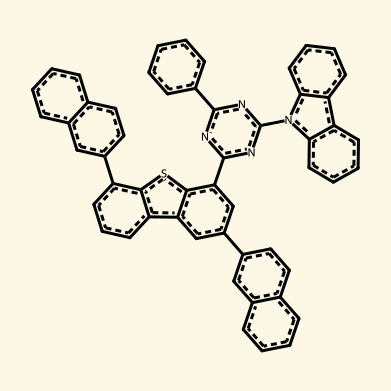 c1ccc(-c2nc(-c3cc(-c4ccc5ccccc5c4)cc4c3sc3c(-c5ccc6ccccc6c5)cccc34)nc(-n3c4ccccc4c4ccccc43)n2)cc1